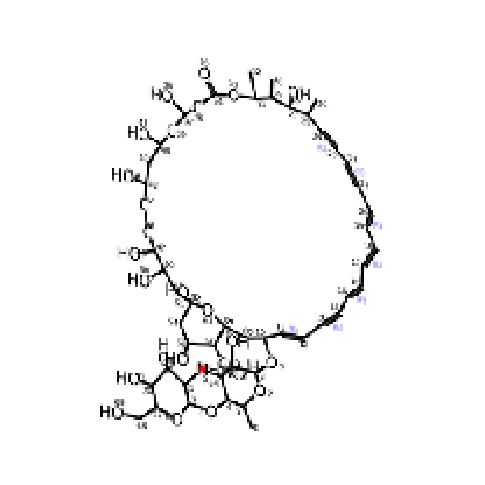 CC(=O)NC1C(OC2C(C)OC(OC3/C=C/C=C/C=C/C=C/C=C/C=C/C=C/C(C)C(O)C(C)C(C)OC(=O)CC(O)CC(O)CC(O)CCC(O)C(O)CC4(O)CC(O)C(C(=O)O)C(C3)O4)C(O)C2C)OC(CO)C(O)C1O